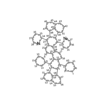 c1ccc(-c2c3c(c(-c4ccccc4)c4c2ccc2c4ccc4c(-c5ccccn5)c5c(c(-c6ccccn6)c42)-c2cccc4cccc-5c24)-c2cccc4cccc-3c24)cc1